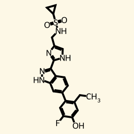 CCc1cc(O)c(F)cc1-c1ccc2c(-c3nc(CNS(=O)(=O)C4CC4)c[nH]3)n[nH]c2c1